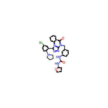 O=C(Nc1cccc(Cn2c(=O)c3ccccc3n3c(-c4cc(Br)ccc4N4CCCC4)nnc23)c1)Nc1ccco1